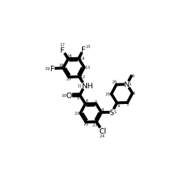 CN1CCC(Sc2cc(C(=O)Nc3cc(F)c(F)c(F)c3)ccc2Cl)CC1